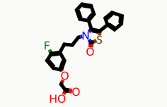 O=C(O)COc1ccc(F)c(CCCn2c(-c3ccccc3)c(-c3ccccc3)sc2=O)c1